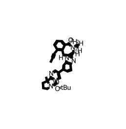 [2H]C([2H])([2H])N1C(=O)c2cccc(C#CC)c2[C@H]2C[C@@H]1c1nc3ccc(-c4cnc(C5(C)CCCN5C(=O)OC(C)(C)C)nc4)cc3n12